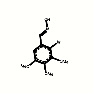 COc1cc(/C=N/O)c(Br)c(OC)c1OC